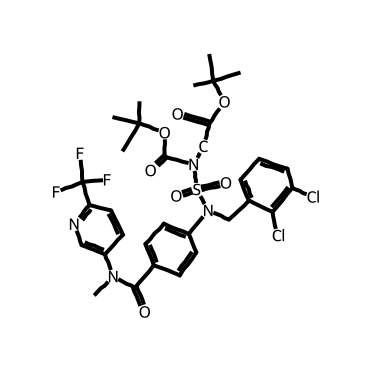 CN(C(=O)c1ccc(N(Cc2cccc(Cl)c2Cl)S(=O)(=O)N(CC(=O)OC(C)(C)C)C(=O)OC(C)(C)C)cc1)c1ccc(C(F)(F)F)nc1